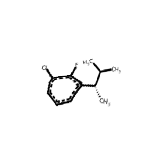 CC(C)[C@H](C)c1cccc(Cl)c1F